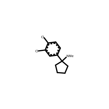 CNC1(c2ccc(Cl)c(Cl)c2)CCCC1